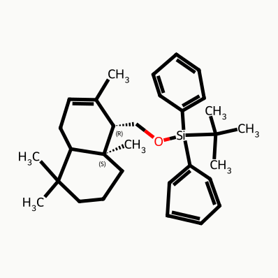 CC1=CCC2C(C)(C)CCC[C@]2(C)[C@H]1CO[Si](c1ccccc1)(c1ccccc1)C(C)(C)C